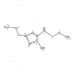 COCNc1cn(COC)nc1O